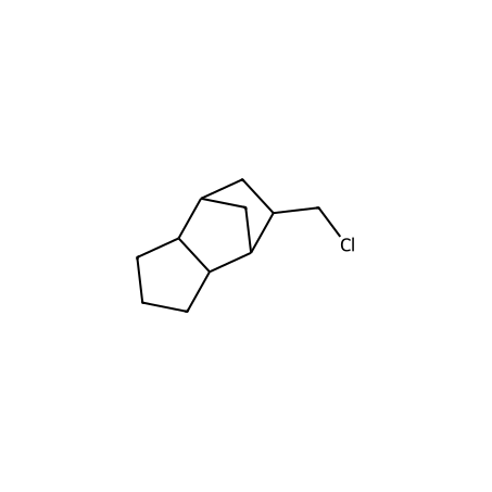 ClCC1CC2CC1C1CCCC21